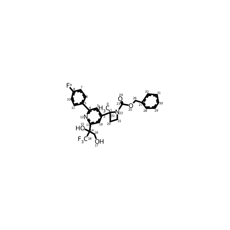 C[C@@]1(c2cc(-c3ccc(F)cc3)nc(C(O)(CO)C(F)(F)F)c2)CCN1C(=O)OCc1ccccc1